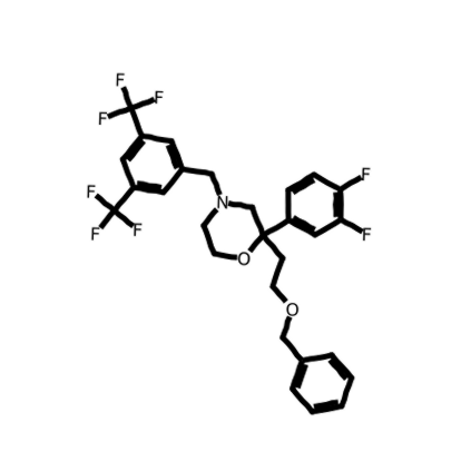 Fc1ccc(C2(CCOCc3ccccc3)CN(Cc3cc(C(F)(F)F)cc(C(F)(F)F)c3)CCO2)cc1F